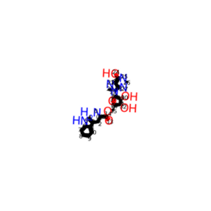 N[C@@H](Cc1c[nH]c2ccccc12)C(=O)OC[C@H]1O[C@@H](n2cnc3c(O)ncnc32)C(O)C1O